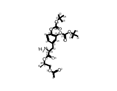 CC(=O)OC[C@@H](C)OC(=O)[C@@H](N)Cc1ccc(OC(=O)OC(C)(C)C)c(OC(=O)OC(C)(C)C)c1